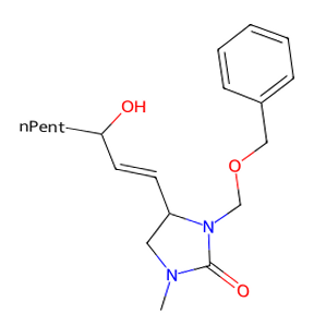 CCCCCC(O)C=CC1CN(C)C(=O)N1COCc1ccccc1